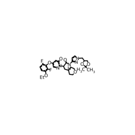 CCOc1ccc(F)c(Oc2cnn(C(CC3CCOCC3)C(=O)Nc3ccn(CC4COC(C)(C)O4)n3)c(=O)c2)c1F